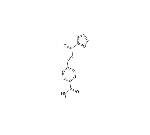 CNC(=O)c1ccc(/C=C/C(=O)c2ccco2)cc1